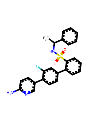 Nc1ccc(-c2ccc(-c3ccccc3S(=O)(=O)NC(c3ccccc3)C(F)(F)F)cc2F)cn1